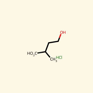 CC(CCO)C(=O)O.Cl